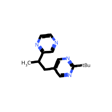 CC(Cc1cnc(C(C)(C)C)nc1)c1cnccn1